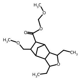 CCC1OC(CC)C2C3CC(C(COC)C3C(=O)OCOC)C12